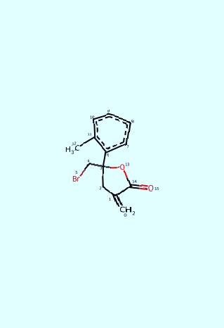 C=C1CC(CBr)(c2ccccc2C)OC1=O